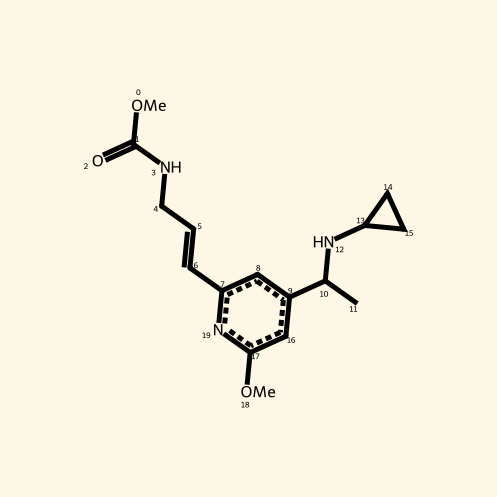 COC(=O)NC/C=C/c1cc(C(C)NC2CC2)cc(OC)n1